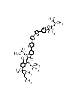 CCCCCC(C)(CC)c1ccc2c(c1)N(CCC(C)C)/C(=C1\C(=O)c3ccc(-c4ccc(-c5ccc(-c6ccc(-c7ccc(C(C)(C)CCCC(C)CC)nc7)s6)s5)cn4)cc3N1CCC(C)C)C2=O